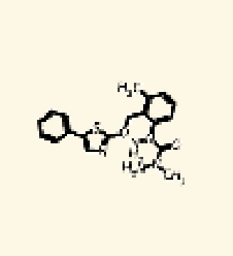 Cc1cccc(N(N)C(=O)N(C)N)c1COc1ncc(-c2ccccc2)s1